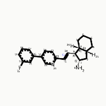 N[C@H]1C[C@H]2CCCC[C@H]2[C@@H]1/C=C/c1ccc(-c2cccc(F)c2)cn1